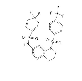 O=S(=O)(Nc1ccc2c(c1)N(S(=O)(=O)c1ccc(C(F)(F)F)cc1)CCC2)C1=CCC(F)(F)C=C1